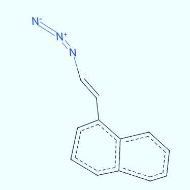 [N-]=[N+]=NC=Cc1cccc2ccccc12